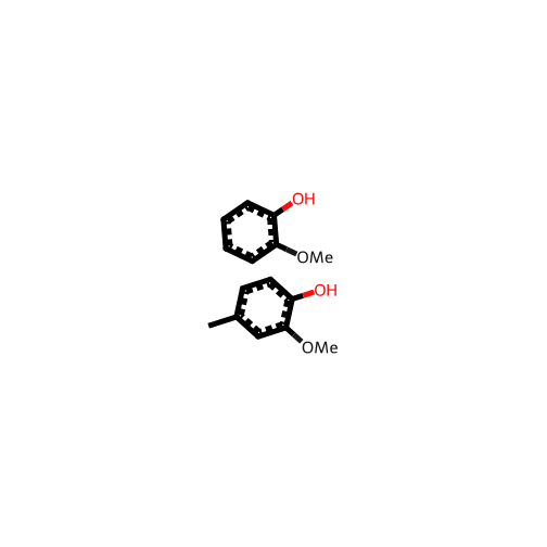 COc1cc(C)ccc1O.COc1ccccc1O